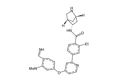 CCc1cc(-c2cc(Oc3ccc(C=N)c(NC)c3)ccn2)ccc1C(=O)N[C@H]1C[C@@H]2C[C@H]1CN2